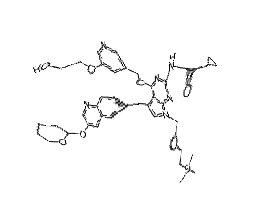 C[Si](C)(C)CCOCn1cc(-c2ccc3ncc(OC4CCCCO4)cc3c2)c2c(OCc3cncc(OCCO)c3)nc(NC(=O)C3CC3)nc21